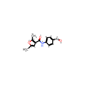 Cc1cc(C(=O)Nc2ccc([As]=O)cc2)c(C)o1